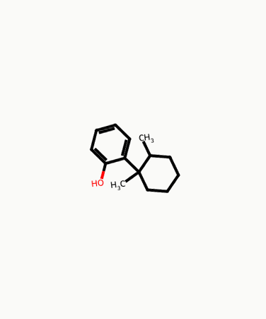 CC1CCCCC1(C)c1ccccc1O